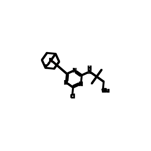 CC(C)(C)CC(C)(C)Nc1nc(Cl)nc(N2CC3CCC(CC3)C2)n1